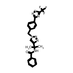 CC(C)(NC(=O)c1ccccc1)c1cn(Cc2ccc(-c3noc(C(F)(F)F)n3)cc2)nn1